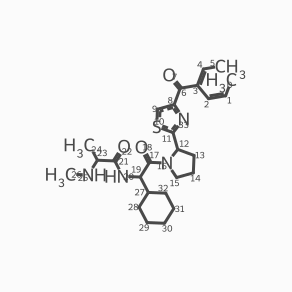 C/C=C\C(=C/C)C(=O)c1csc(C2CCCN2C(=O)C(NC(=O)C(C)NC)C2CCCCC2)n1